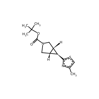 Cc1csc([C@H]2[C@@H]3CN(C(=O)OC(C)(C)C)C[C@@H]32)n1